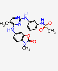 Cc1cnc(Nc2cccc(NS(C)(=O)=O)c2)nc1Nc1ccc2c(c1)oc(=O)n2C